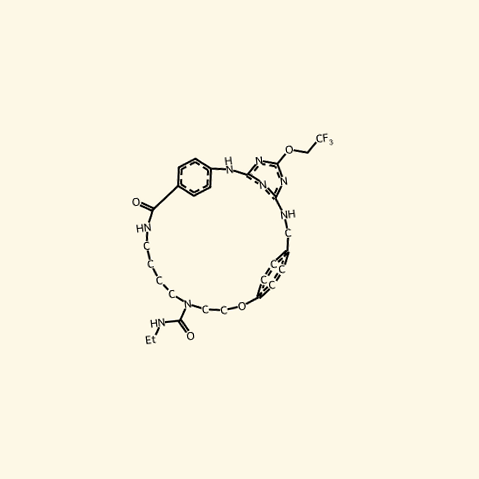 CCNC(=O)N1CCCCNC(=O)c2ccc(cc2)Nc2nc(nc(OCC(F)(F)F)n2)NCc2ccc(cc2)OCC1